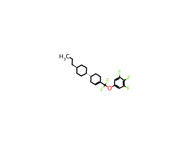 CCC[C@H]1CC[C@H](C2CC=C(C(F)(F)Oc3cc(F)c(F)c(F)c3)CC2)CC1